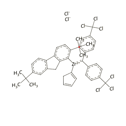 CC(C)(C)c1ccc2c(c1)Cc1c-2ccc(C(C)(C)C)[c]1[Zr+2]([C]1=CC=CC1)=[C](c1ccc(C(Cl)(Cl)Cl)cc1)c1ccc(C(Cl)(Cl)Cl)cc1.[Cl-].[Cl-]